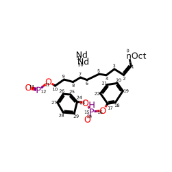 CCCCCCCC/C=C\CCCCCCCCOP=O.O=[PH](Oc1ccccc1)Oc1ccccc1.[Nd].[Nd]